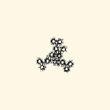 c1ccc(N2c3cc(-n4c5ccccc5c5ccccc54)ccc3B3c4ccc5c6c4N4c7c(ccc8c7B(c7ccc(-n9c%10ccccc%10c%10ccccc%109)cc7S8)c7ccc2c3c74)B6c2ccc(-n3c4ccccc4c4ccccc43)cc2S5)cc1